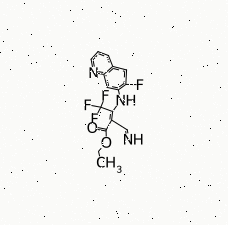 CCOC(=O)/C(C=N)=C(/Nc1cc2ncccc2cc1F)C(F)(F)F